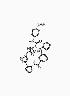 COc1ccc(N(C)C(=O)[C@H](Cc2ccccc2)NC(=O)Cn2cc(-c3ccccc3NC(=O)c3cccc(OC)c3)nn2)cc1